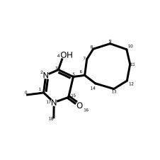 Cc1nc(O)c(C2CCCCCCCC2)c(=O)n1C